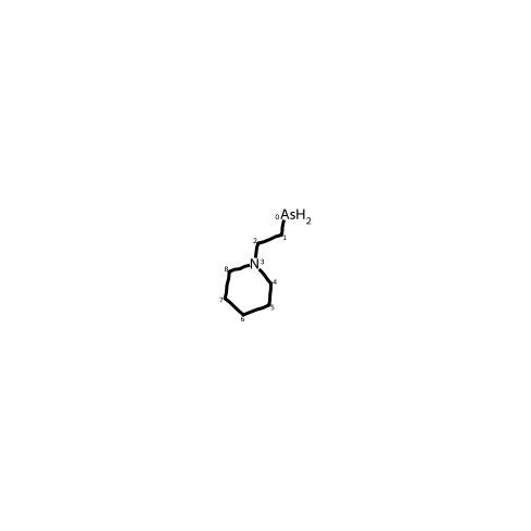 [AsH2]CCN1CCCCC1